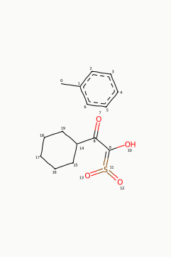 Cc1ccccc1.O=C(C(O)=S(=O)=O)C1CCCCC1